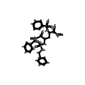 COC(=O)C(CC(OS(=O)(=O)c1ccccc1)C(=O)OC)CP(=O)(OCc1ccccc1)OCc1ccccc1